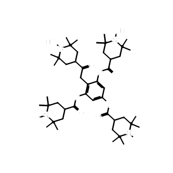 CC1(C)CC(C(=O)Cc2c(OC(=O)C3CC(C)(C)N(O)C(C)(C)C3)cc(OC(=O)C3CC(C)(C)N(O)C(C)(C)C3)cc2OC(=O)C2CC(C)(C)N(O)C(C)(C)C2)CC(C)(C)N1O